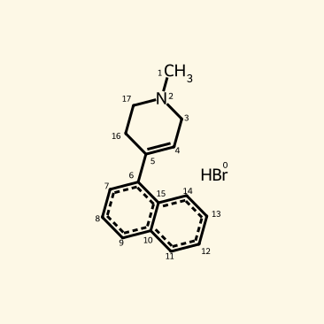 Br.CN1CC=C(c2cccc3ccccc23)CC1